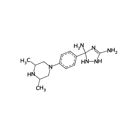 CC1CN(c2ccc(C3(N)N=C(N)NN3)cc2)CC(C)N1